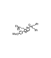 CCN(CC)CCCc1c(-c2ccc(OC)cc2)nn2ccc(C(=O)N(CCC(C)C)CCC(C)C)nc12